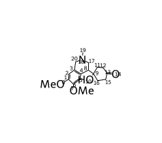 COc1cc2c(cc1OC)C(C1(O)CCC(=O)CC1)CN(C)C2